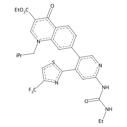 CCNC(=O)Nc1cc(-c2nc(C(F)(F)F)cs2)c(-c2ccc3c(=O)c(C(=O)OCC)cn(CC(C)C)c3c2)cn1